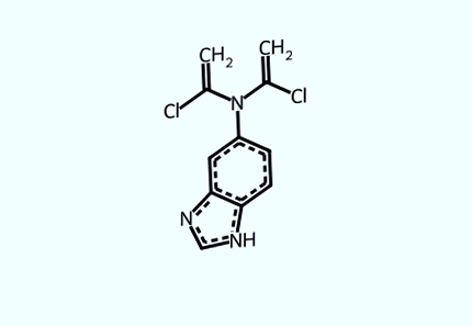 C=C(Cl)N(C(=C)Cl)c1ccc2[nH]cnc2c1